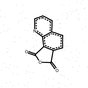 O=C1OC(=O)c2c1ccc1cccnc21